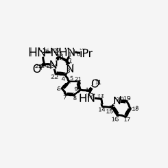 CC(C)Nc1nc(-c2cccc(C(=O)NCCc3ccccn3)c2)cn2c(=O)[nH]nc12